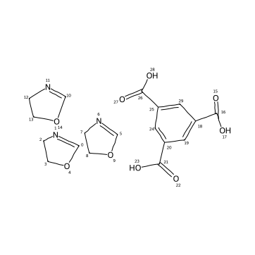 C1=NCCO1.C1=NCCO1.C1=NCCO1.O=C(O)c1cc(C(=O)O)cc(C(=O)O)c1